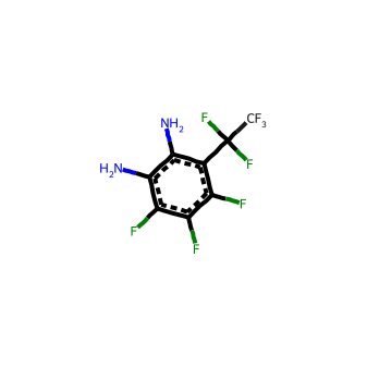 Nc1c(N)c(C(F)(F)C(F)(F)F)c(F)c(F)c1F